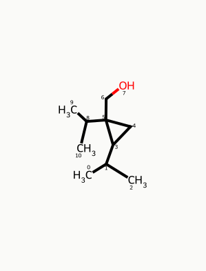 CC(C)C1CC1(CO)C(C)C